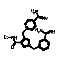 CCNC(=O)c1cn(Cc2cccc(C(=N)N)c2)cc1Cc1ccc(C(=N)N)cc1